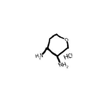 Cl.NC1CCOCC1N